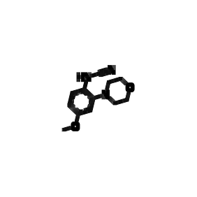 COc1ccc(NC#N)c(N2CCOCC2)c1